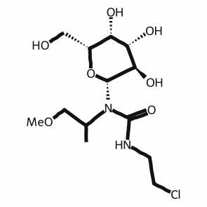 COCC(C)N(C(=O)NCCCl)[C@@H]1O[C@H](CO)[C@H](O)[C@H](O)[C@H]1O